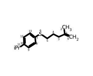 C=C(C)CCCSc1ccc(C(C)C)cc1